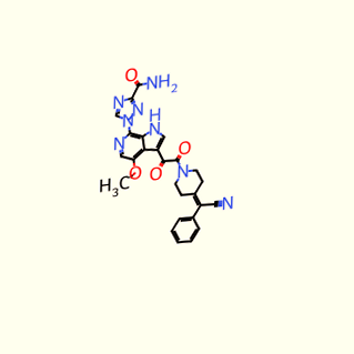 COc1cnc(-n2cnc(C(N)=O)n2)c2[nH]cc(C(=O)C(=O)N3CCC(=C(C#N)c4ccccc4)CC3)c12